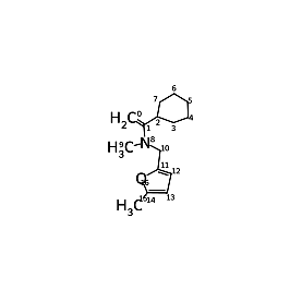 C=C(C1CCCCC1)N(C)Cc1ccc(C)o1